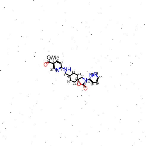 COC(=O)c1ccc(NCC2CCC3(CC2)CN(c2cccnn2)C(=O)O3)nc1